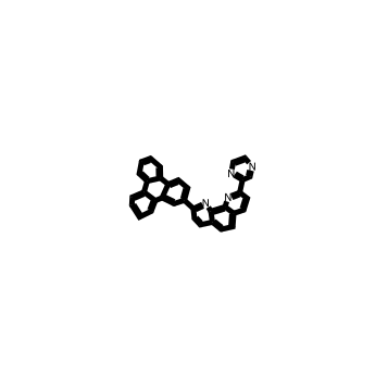 c1ccc2c(c1)c1ccccc1c1cc(-c3ccc4ccc5ccc(-c6cnccn6)nc5c4n3)ccc21